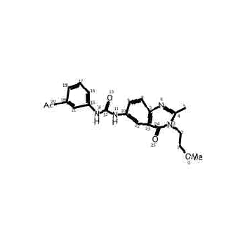 COCCn1c(C)nc2ccc(NC(=O)Nc3cccc(C(C)=O)c3)cc2c1=O